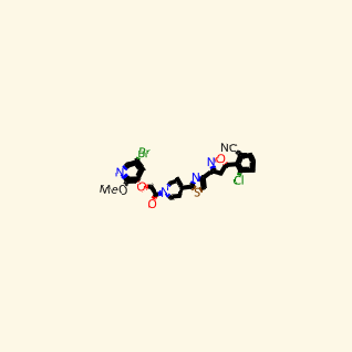 COc1ncc(Br)cc1OCC(=O)N1CCC(c2nc(C3=NOC(c4c(Cl)cccc4C#N)C3)cs2)CC1